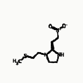 CSCCN1CCNC1=CC[N+](=O)[O-]